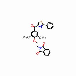 COc1cc(C(=O)c2csc(-c3ccccc3)n2)cc(OC)c1OCCN1C(=O)c2ccccc2C1=O